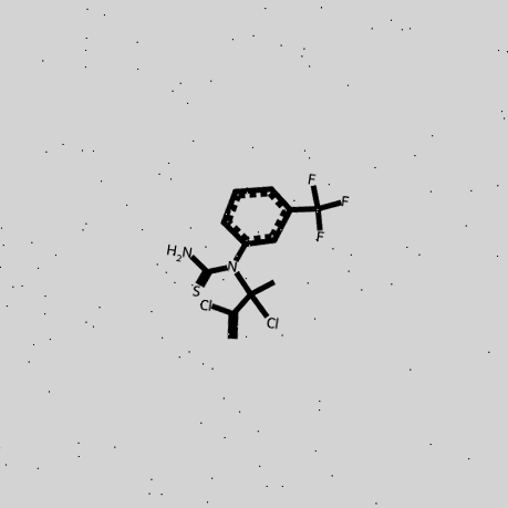 C=C(Cl)C(C)(Cl)N(C(N)=S)c1cccc(C(F)(F)F)c1